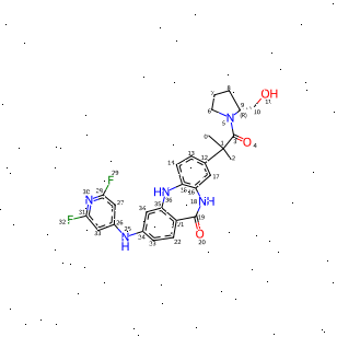 CC(C)(C(=O)N1CCC[C@@H]1CO)c1ccc2c(c1)NC(=O)c1ccc(Nc3cc(F)nc(F)c3)cc1N2